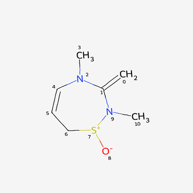 C=C1N(C)C=CC[S+]([O-])N1C